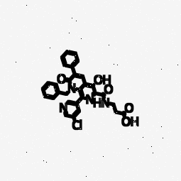 O=C(O)CCNC(=O)c1nc(-c2cncc(Cl)c2)c2c(cc(-c3ccccc3)c(=O)n2Cc2ccccc2)c1O